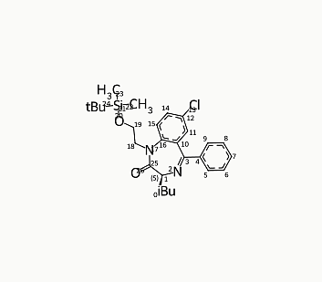 CCC(C)[C@@H]1N=C(c2ccccc2)c2cc(Cl)ccc2N(CCO[Si](C)(C)C(C)(C)C)C1=O